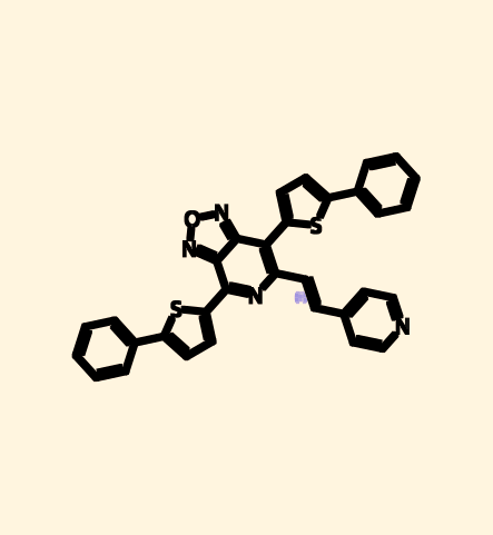 C(=C\c1nc(-c2ccc(-c3ccccc3)s2)c2nonc2c1-c1ccc(-c2ccccc2)s1)/c1ccncc1